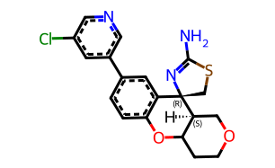 NC1=N[C@@]2(CS1)c1cc(-c3cncc(Cl)c3)ccc1OC1CCOC[C@@H]12